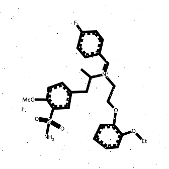 CCOc1ccccc1OCC[N+](=Cc1ccc(F)cc1)C(C)Cc1ccc(OC)c(S(N)(=O)=O)c1.[I-]